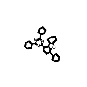 C1=CCC(c2nc(-c3ccccc3)nc(-c3ccc(-c4ccccc4)c4oc5ccccc5c34)n2)C=C1